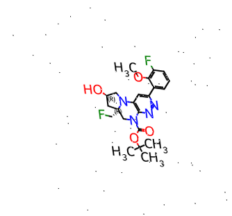 COc1c(F)cccc1-c1cc2c(nn1)N(C(=O)OC(C)(C)C)C[C@@]1(CF)C[C@@H](O)CN21